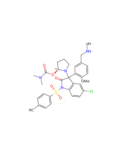 CCCNCc1ccc(OC)c(C2(N3CCC[C@@H]3OC(=O)N(C)C)C(=O)N(S(=O)(=O)c3ccc(C#N)cc3)c3ccc(Cl)cc32)c1